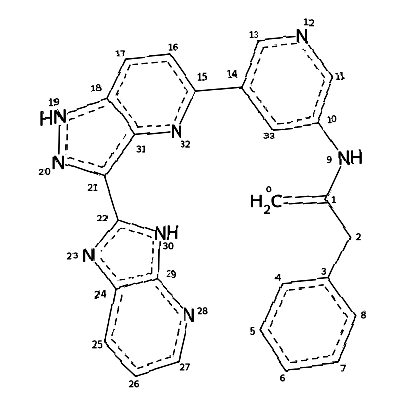 C=C(Cc1ccccc1)Nc1cncc(-c2ccc3[nH]nc(-c4nc5cccnc5[nH]4)c3n2)c1